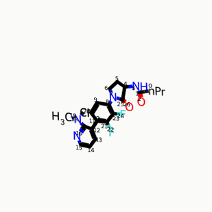 CCCC(=O)NC1CCN(c2ccc(-c3cccnc3N(C)C)c(F)c2F)C1=O